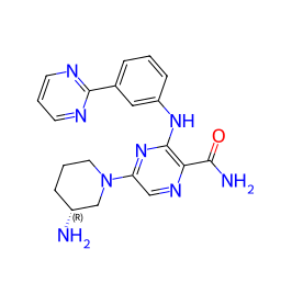 NC(=O)c1ncc(N2CCC[C@@H](N)C2)nc1Nc1cccc(-c2ncccn2)c1